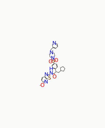 COc1ccc2nc(NC(=O)C(CC3CCCC3)c3ccc(S(=O)(=O)N4CCN(Cc5cccnc5)CC4)cc3)sc2n1